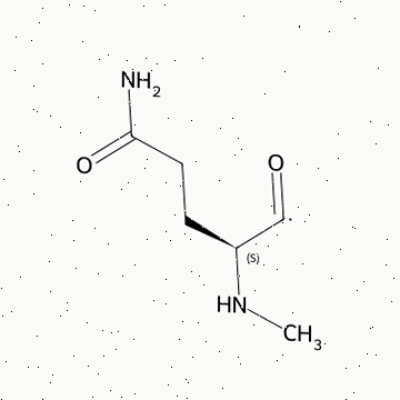 CN[C@H]([C]=O)CCC(N)=O